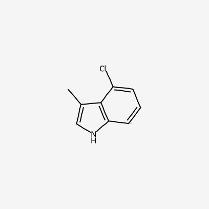 Cc1c[nH]c2[c]ccc(Cl)c12